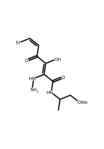 CC/C=C\C(=O)/C(O)=C(\NN)C(=O)NC(C)COC